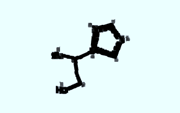 CC(C)(C)C(CO)n1cncn1